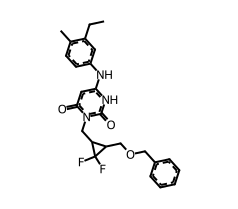 CCc1cc(Nc2cc(=O)n(CC3C(COCc4ccccc4)C3(F)F)c(=O)[nH]2)ccc1C